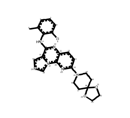 Cc1cccc(Cl)c1Nc1nc2ccc(N3CCC4(CC3)OCCO4)nc2n2cncc12